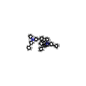 c1ccc(-c2ccc(N(c3ccccc3)c3ccc(-c4ccc5c(c4)C4(c6ccccc6-c6ccccc64)c4c-5cccc4N(c4ccc(-c5ccccc5)cc4)c4ccc(-c5ccccc5)cc4)cc3)cc2)cc1